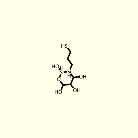 OC1O[SiH](O)[SiH](CCCS)C(O)C1O